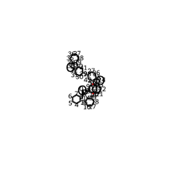 O=P(c1ccccc1)(c1ccccc1)c1ccccc1-c1ccc2oc3ccc(-c4ccc5oc6ccccc6c5c4)cc3c2c1